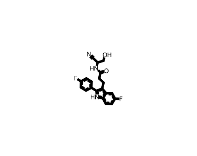 N#CC(CO)NC(=O)CCc1c(-c2ccc(F)cc2)[nH]c2ccc(F)cc12